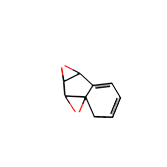 C1=CCC23OC2C2OC2C3=C1